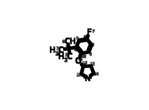 CC(C)(C)c1cc(F)ccc1OC1CC[N]C1